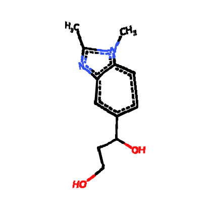 Cc1nc2cc(C(O)CCO)ccc2n1C